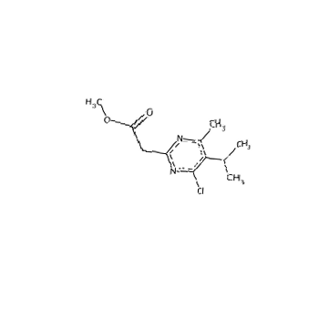 COC(=O)Cc1nc(C)c(C(C)C)c(Cl)n1